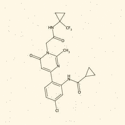 Cc1nc(-c2ccc(Cl)cc2NC(=O)C2CC2)cc(=O)n1CC(=O)NC1(C(F)(F)F)CC1